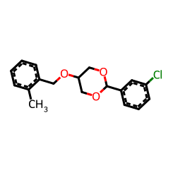 Cc1ccccc1COC1COC(c2cccc(Cl)c2)OC1